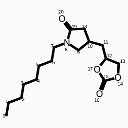 CCCCCCCCN1CC(CC2COC(=O)O2)CC1=O